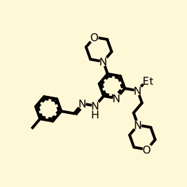 CCN(CCN1CCOCC1)c1cc(N2CCOCC2)cc(NN=Cc2cccc(C)c2)n1